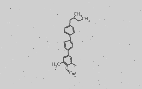 CCC(C)Cc1ccc(-c2ccc(-c3cc(C)c(N=C=S)c(F)c3)cc2)cc1